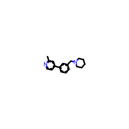 Cc1cc(-c2cc[c]c(CN3CCCCC3)c2)ccn1